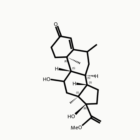 C=C(OC)[C@@]1(O)CC[C@H]2[C@@H]3CC(C)C4=CC(=O)CC[C@]4(C)[C@H]3C(O)C[C@@]21C